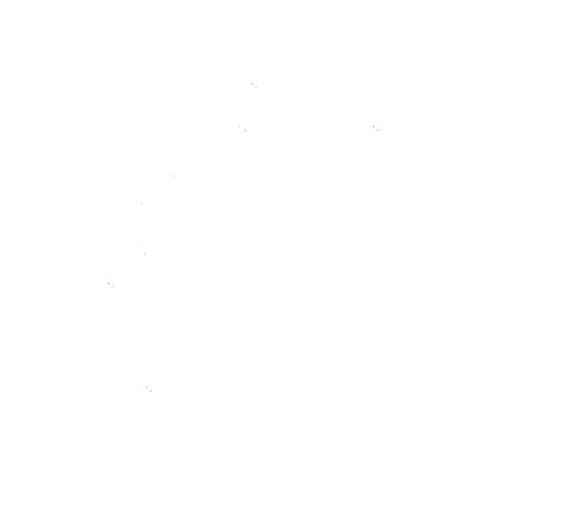 O=C(/C=C/C(=O)On1cnc2c1CCC(C(=O)Nc1ccccc1Br)C2)On1cnc2c1CCC(C(=O)Nc1ccccc1Br)C2